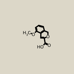 COc1cccc2c1C=C(C(=O)O)OC2